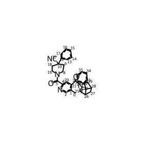 Cc1cnc(C(=O)N2CCC(C#N)(c3ccccc3)CC2)cc1C(=O)N1CC2CC(C1)C2(F)c1ccccc1